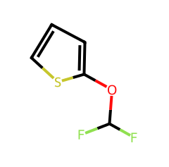 FC(F)Oc1cccs1